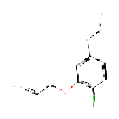 C=CCOc1cc(CCBr)ccc1F